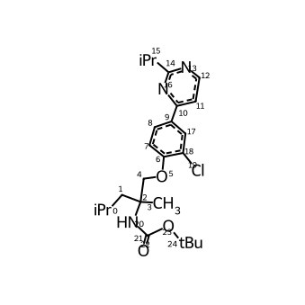 CC(C)CC(C)(COc1ccc(-c2ccnc(C(C)C)n2)cc1Cl)NC(=O)OC(C)(C)C